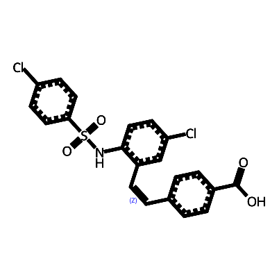 O=C(O)c1ccc(/C=C\c2cc(Cl)ccc2NS(=O)(=O)c2ccc(Cl)cc2)cc1